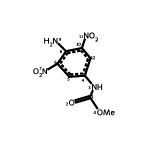 COC(=O)Nc1cc([N+](=O)[O-])c(N)c([N+](=O)[O-])c1